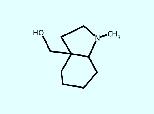 CN1CCC2(CO)CCCCC12